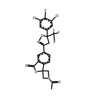 CC(=O)N1CC2(C1)OC(=O)c1cc(C3=NOC(c4cc(Cl)c(F)c(Cl)c4)(C(F)(F)F)C3)ccc12